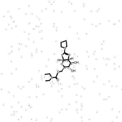 CCN(CC)C(=O)OC[C@H]1O[C@@H]2SC(N3CCCC3)=N[C@@H]2[C@@H](O)[C@@H]1O